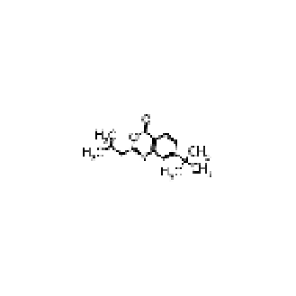 CC(C)Cc1nc2cc(C(C)(C)C)ccc2c(=O)o1